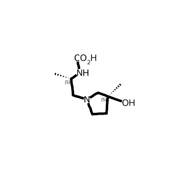 C[C@@H](CN1CC[C@](C)(O)C1)NC(=O)O